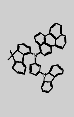 CC1(C)c2ccccc2-c2c(N(c3ccc(-c4cccc5cccc(-c6ccccc6)c45)cc3)c3cccc(-n4c5ccccc5c5ccccc54)c3)cccc21